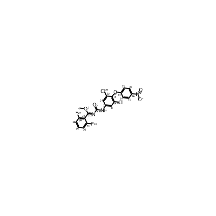 COC(=NC(=O)Nc1cc(Cl)c(Oc2ccc([N+](=O)[O-])cc2)c(Cl)c1)c1c(F)cccc1F